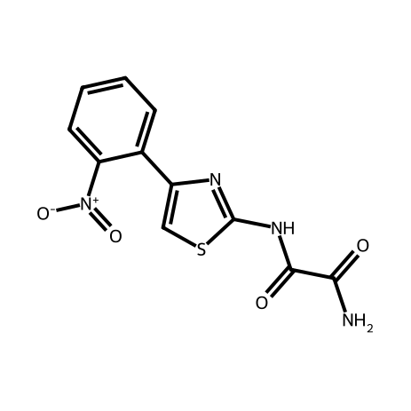 NC(=O)C(=O)Nc1nc(-c2ccccc2[N+](=O)[O-])cs1